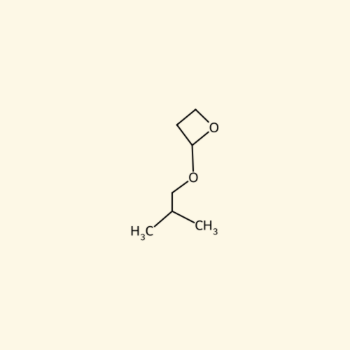 CC(C)COC1CCO1